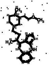 COCC[C@H]1CN(CCC(C)C2=Nc3ccccc3Nc3scnc32)CCN1C